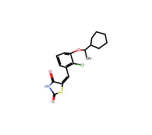 CCCC(Oc1cccc(C=C2SC(=O)NC2=O)c1Cl)C1CCCCC1